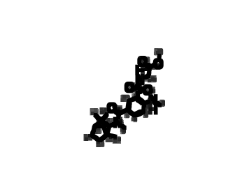 CNc1ccc(C(=O)N(C)C2C3(C)CCC(C3)C2(C)C)cc1S(=O)(=O)NCC(=O)OC